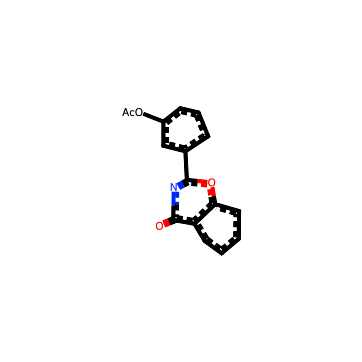 CC(=O)Oc1cccc(-c2nc(=O)c3ccccc3o2)c1